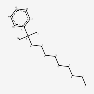 CCCCCCCCCC(C)(C)c1ccccc1